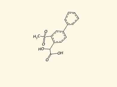 CS(=O)(=O)c1cc(-c2ccccc2)ccc1C(O)C(=O)O